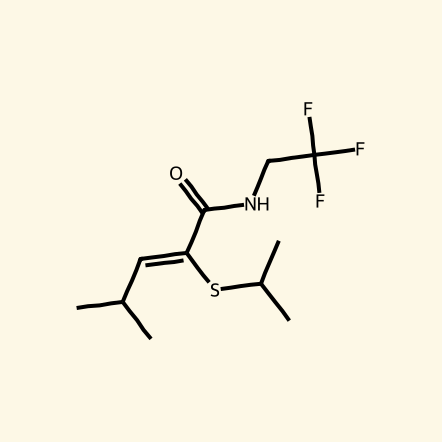 CC(C)/C=C(\SC(C)C)C(=O)NCC(F)(F)F